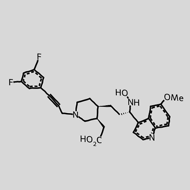 COc1ccc2nccc([C@H](CC[C@@H]3CCN(CC#Cc4cc(F)cc(F)c4)C[C@@H]3CC(=O)O)NO)c2c1